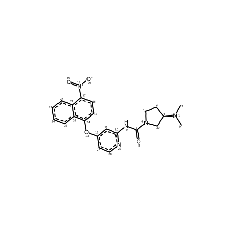 CN(C)[C@@H]1CCN(C(=O)Nc2cc(Oc3ccc([N+](=O)[O-])c4ccccc34)ccn2)C1